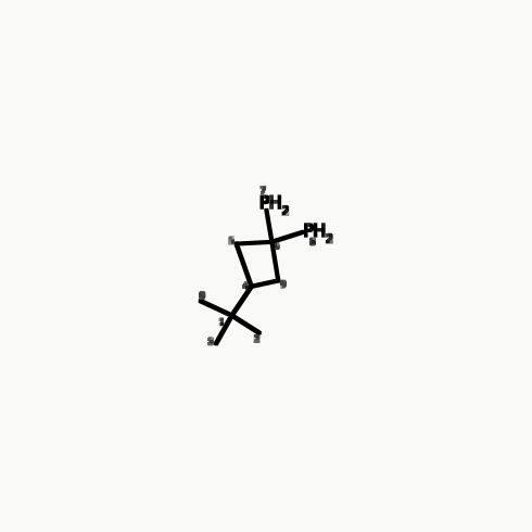 CC(C)(C)C1CC(P)(P)C1